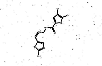 Nc1ncc(/C=C\CNC(=O)c2cc(Br)c(Br)[nH]2)[nH]1